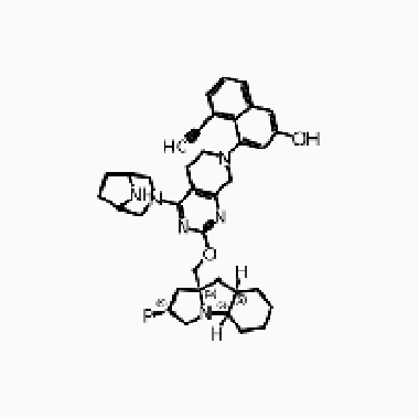 C#Cc1cccc2cc(O)cc(N3CCc4c(nc(OC[C@]56C[C@H](F)CN5[C@H]5CCCC[C@H]5C6)nc4N4CC5CCC(C4)N5)C3)c12